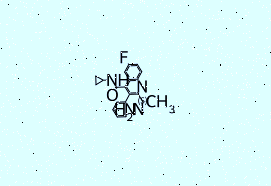 C[C@H](N)c1nc2ccc(F)cc2c(C(=O)NC2CC2)c1-c1ccccn1